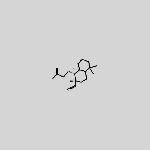 C=C(C)CC[C@H]1[C@@](C)(C=O)CCC2C(C)(C)CCC[C@@]21C